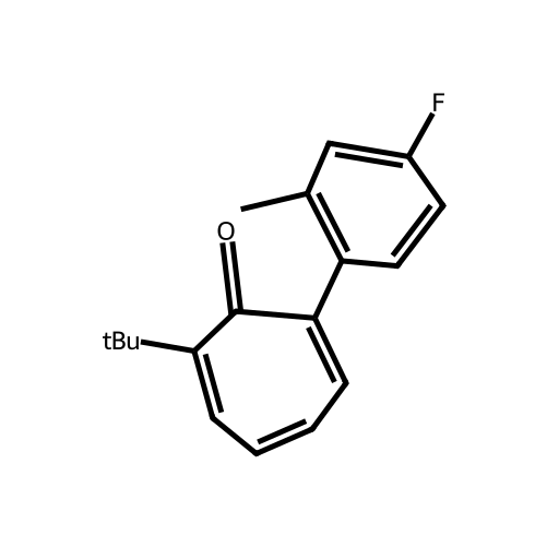 Cc1cc(F)ccc1-c1ccccc(C(C)(C)C)c1=O